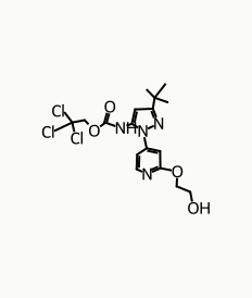 CC(C)(C)c1cc(NC(=O)OCC(Cl)(Cl)Cl)n(-c2ccnc(OCCO)c2)n1